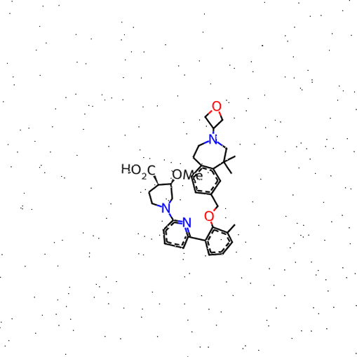 CO[C@H]1CN(c2cccc(-c3cccc(C)c3OCc3ccc4c(c3)C(C)(C)CN(C3COC3)CC4)n2)CC[C@H]1C(=O)O